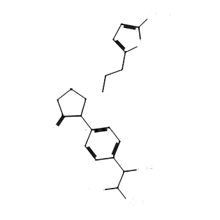 CCCCC(O)C(O)c1ccc(C2C(=O)CC[C@@H]2CCCc2ccc(C=O)s2)cc1